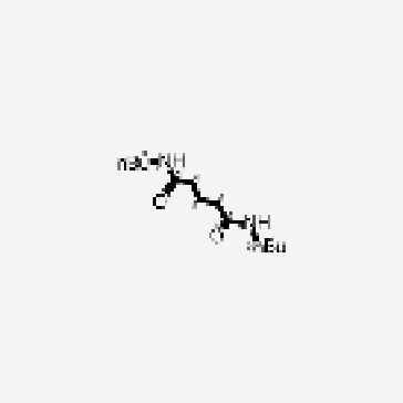 CCCCNC(=O)CCCC(=O)NCCCC